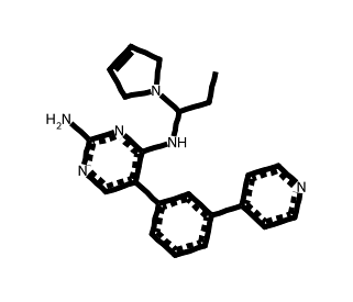 CCC(Nc1nc(N)ncc1-c1cccc(-c2ccncc2)c1)N1CC=CC1